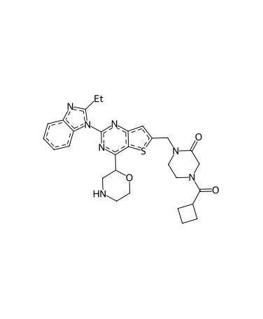 CCc1nc2ccccc2n1-c1nc(C2CNCCO2)c2sc(CN3CCN(C(=O)C4CCC4)CC3=O)cc2n1